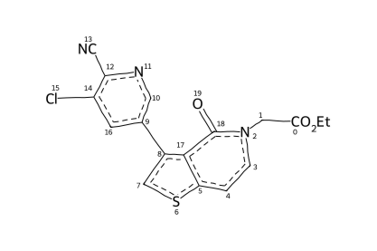 CCOC(=O)Cn1ccc2scc(-c3cnc(C#N)c(Cl)c3)c2c1=O